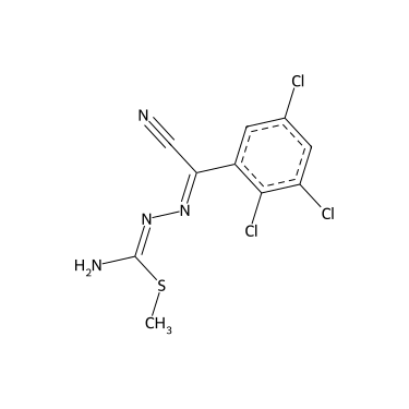 CSC(N)=NN=C(C#N)c1cc(Cl)cc(Cl)c1Cl